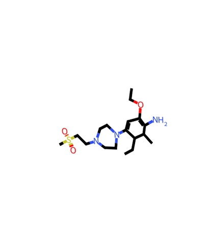 CCOC1=C(N)C(C)C(CC)C(N2CCN(CCS(C)(=O)=O)CC2)=C1